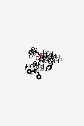 C[C@H](NC(=O)Cc1ccncc1)C(=O)N[C@H](C)C(=O)N[C@@H](CC(=O)O)C(=O)N[C@@H](CCN(C(=O)CO)[C@@H](c1cc(-c2cc(F)ccc2F)cn1Cc1ccccc1)C(C)(C)C)C(=O)NCCCC(=O)ON1C(=O)CCC1=O